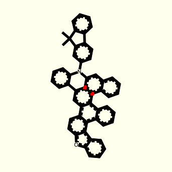 CC1(C)c2ccccc2-c2ccc(N(c3ccc4ccccc4c3)c3ccccc3-c3ccc4c5ccccc5c5c(ccc6oc7ccccc7c65)c4c3)cc21